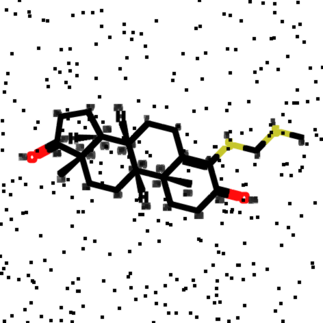 CSCSC1=C2CC[C@@H]3[C@@H](CC[C@]4(C)C(=O)CC[C@@H]34)[C@@]2(C)CCC1=O